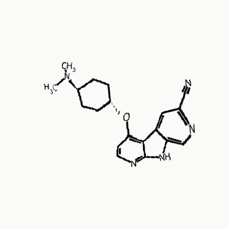 CN(C)[C@H]1CC[C@H](Oc2ccnc3[nH]c4cnc(C#N)cc4c23)CC1